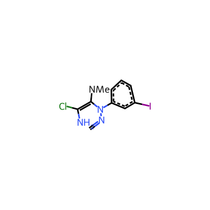 C=NN(/C(NC)=C(\N)Cl)c1cccc(I)c1